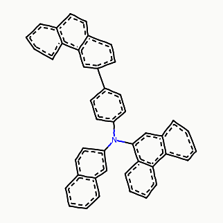 c1ccc2cc(N(c3ccc(-c4ccc5ccc6ccccc6c5c4)cc3)c3cc4ccccc4c4ccccc34)ccc2c1